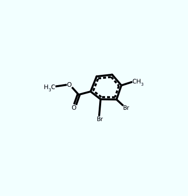 COC(=O)c1ccc(C)c(Br)c1Br